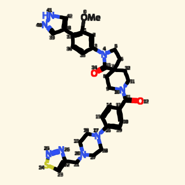 COc1cc(N2CCC3(CCN(C(=O)c4ccc(N5CCN(Cc6csnn6)CC5)cc4)CC3)C2=O)ccc1-c1cn[nH]c1